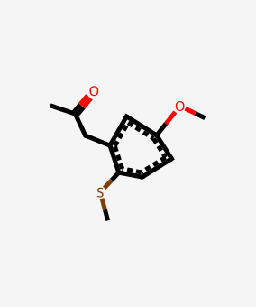 COc1ccc(SC)c(CC(C)=O)c1